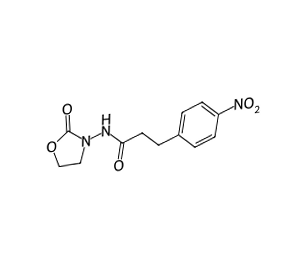 O=C(CCc1ccc([N+](=O)[O-])cc1)NN1CCOC1=O